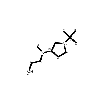 CN(CCO)[C@@H]1CCN(C(C)(C)C)C1